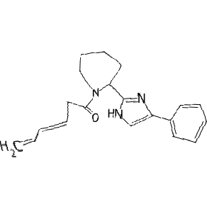 C=CC=CCC(=O)N1CCCCC1c1nc(-c2ccccc2)c[nH]1